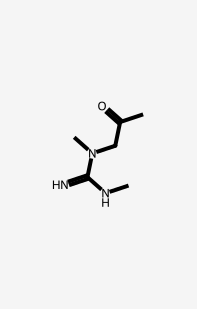 CNC(=N)N(C)CC(C)=O